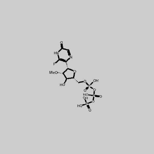 CO[C@H]1C(O)[C@@H](COP(=O)(O)OP(=O)(O)OP(=O)(O)O)O[C@H]1c1ncc(=O)[nH]c1F